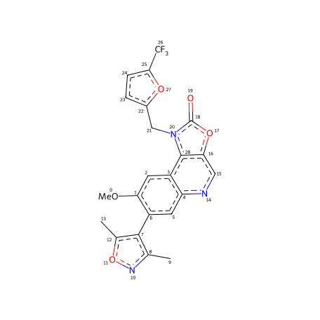 COc1cc2c(cc1-c1c(C)noc1C)ncc1oc(=O)n(Cc3ccc(C(F)(F)F)o3)c12